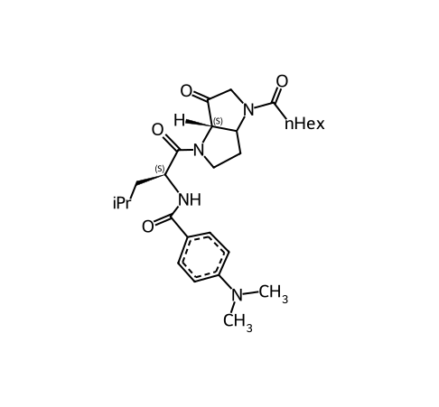 CCCCCCC(=O)N1CC(=O)[C@@H]2C1CCN2C(=O)[C@H](CC(C)C)NC(=O)c1ccc(N(C)C)cc1